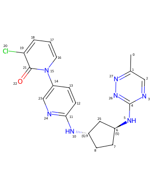 Cc1cnc(N[C@H]2CC[C@H](Nc3ccc(-n4cccc(Cl)c4=O)cn3)C2)nn1